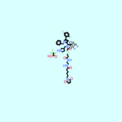 CC(C)(C)[C@H](c1cc(-c2cc(F)ccc2F)cn1Cc1ccccc1)N(CC1CCNC1)C(=O)CSCCC(=O)NCCNC(=O)CCCCCN1C(=O)C=CC1=O.O=C(O)C(F)(F)F